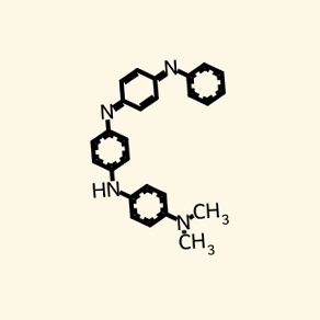 CN(C)c1ccc(Nc2ccc(N=C3C=CC(=Nc4ccccc4)C=C3)cc2)cc1